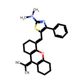 CN(C)c1nc(-c2ccccc2)c(/C=C2\CCCC3=C2OC2=C(CCCC2)C3=C(C#N)C#N)s1